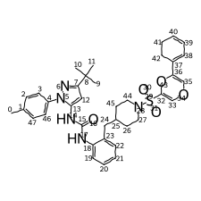 Cc1ccc(-n2nc(C(C)(C)C)cc2NC(=O)Nc2ccccc2CC2CCN(S(=O)(=O)C3=COC=C(C4=CC=CCC4)O3)CC2)cc1